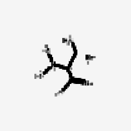 CCC(C(=O)[O-])N(O)O.[Na+]